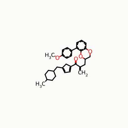 C=C(CC1COc2cccc(-c3ccc(OC)cc3)c2O1)C(=O)C1=CC=C(CC2CCC(C)CC2)C1